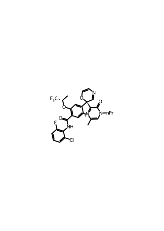 CCCn1cc(C)nc([C@]2(c3cc(O[C@@H](C)C(F)(F)F)c(C(=O)Nc4c(F)cccc4Cl)cc3F)C=NC=CO2)c1=O